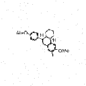 COc1ccc([C@@H]2Cc3cc(C)c(OC)cc3[C@@H]3CCCC[C@H]23)cc1